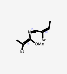 C\C=C(/C=N\C(OC)=C(/C)CC)C(C)=O